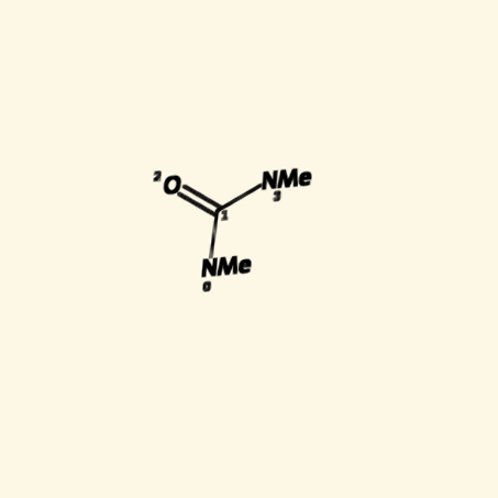 [CH2]NC(=O)N[CH2]